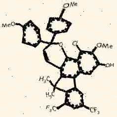 COc1ccc(C2(c3ccc(OC)cc3)C=Cc3c4c(c5cc(O)c(OC)c(Cl)c5c3O2)-c2cc(C(F)(F)F)cc(C(F)(F)F)c2C4(C)C)cc1